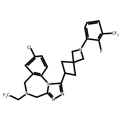 Fc1c(N2CC3(CC(c4nnc5n4-c4ccc(Cl)cc4CN(CC(F)(F)F)C5)C3)C2)cccc1C(F)(F)F